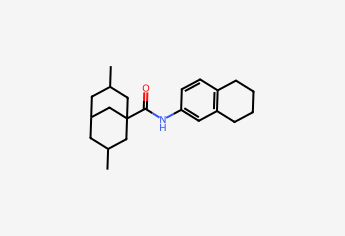 CC1CC2CC(C)CC(C(=O)Nc3ccc4c(c3)CCCC4)(C1)C2